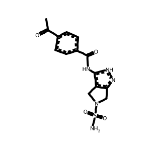 CC(=O)c1ccc(C(=O)Nc2[nH]nc3c2CN(S(N)(=O)=O)C3)cc1